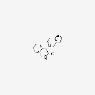 COC(=O)[C@H](c1ccccc1C)N1CCc2sccc2C1